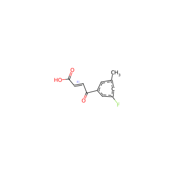 Cc1cc(F)cc(C(=O)/C=C/C(=O)O)c1